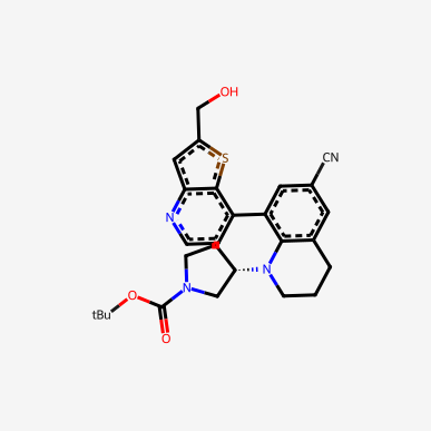 CC(C)(C)OC(=O)N1CC[C@H](N2CCCc3cc(C#N)cc(-c4ccnc5cc(CO)sc45)c32)C1